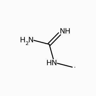 [CH2]NC(=N)N